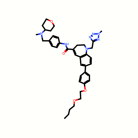 CCCCOCCOc1ccc(-c2ccc3c(c2)C=C(C(=O)Nc2ccc(CN(C)C4CCOCC4)cc2)CCN3Cc2nnn(C)n2)cc1